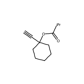 C#CC1(OC(=O)C(C)C)CCCCC1